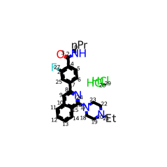 CCCNC(=O)c1ccc(-c2cc3ccccc3c(N3CCN(CC)CC3)n2)cc1F.Cl.Cl